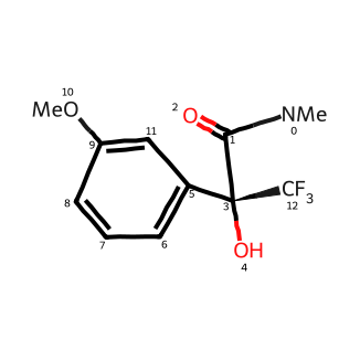 CNC(=O)[C@](O)(c1cccc(OC)c1)C(F)(F)F